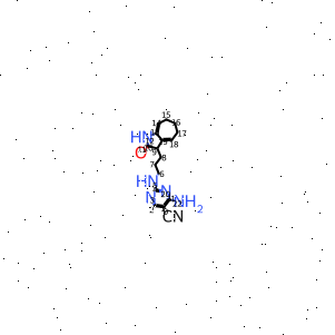 N#Cc1cnc(NCCCC2C(=O)NC3=CCCCC=C32)nc1N